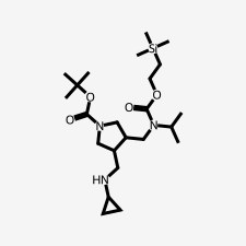 CC(C)N(CC1CN(C(=O)OC(C)(C)C)CC1CNC1CC1)C(=O)OCC[Si](C)(C)C